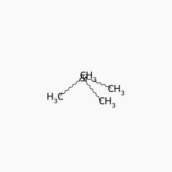 CCCCCCCCCCC=C[Si](C)(CCCCCCCCCCCC)CCCCCCCCCCCC